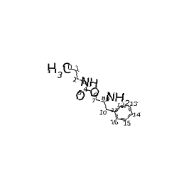 CCCNC(=O)OCC(N)Cc1ccccc1